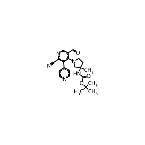 CC(C)(C)OC(=O)N[C@@]1(C)CCN(c2c(C=O)cnc(C#N)c2-c2ccncc2)C1